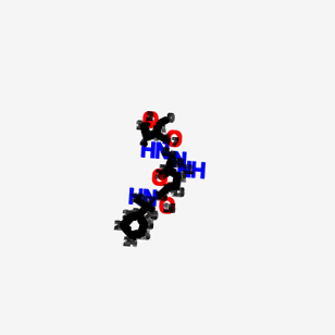 Cc1occc1C(=O)Nc1n[nH]c2cc(C(=O)NC(C)(C)c3ccccc3)oc12